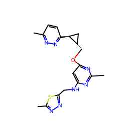 Cc1ccc([C@H]2C[C@@H]2COc2cc(NCc3nnc(C)s3)nc(C)n2)nn1